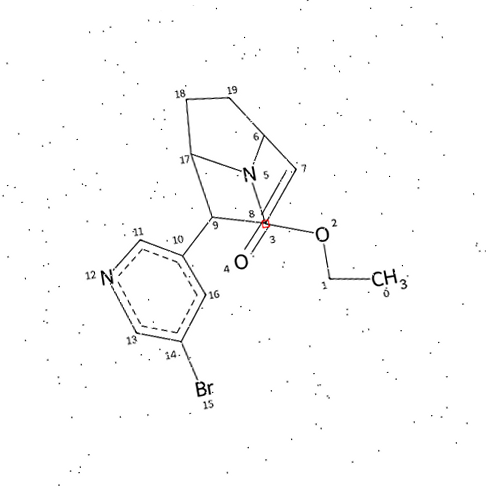 CCOC(=O)N1C2C=CC(c3cncc(Br)c3)C1CC2